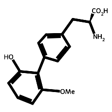 COc1cccc(O)c1-c1ccc(C[C@H](N)C(=O)O)cc1